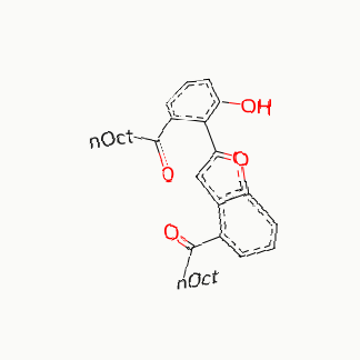 CCCCCCCCC(=O)c1cccc(O)c1-c1cc2c(C(=O)CCCCCCCC)cccc2o1